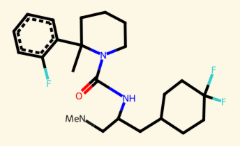 CNCC(CC1CCC(F)(F)CC1)NC(=O)N1CCCCC1(C)c1ccccc1F